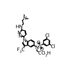 CN(C)CCNc1ccc(-n2cc(C(F)(F)F)c3cc(N(CC(=O)O)S(=O)(=O)c4cc(Cl)cc(Cl)c4)ccc32)nn1